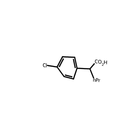 CCCC(C(=O)O)c1ccc(Cl)cc1